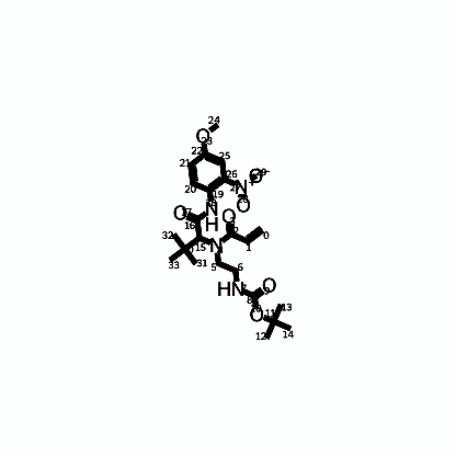 C=CC(=O)N(CCNC(=O)OC(C)(C)C)C(C(=O)Nc1ccc(OC)cc1[N+](=O)[O-])C(C)(C)C